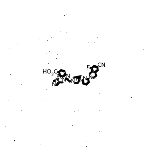 CCn1cncc1Cn1c(CN2CC[C@]3(c4cccc(N5CCc6cc(C#N)cc(F)c6C5)n4)C[C@@H]3C2)nc2ccc(C(=O)O)cc21